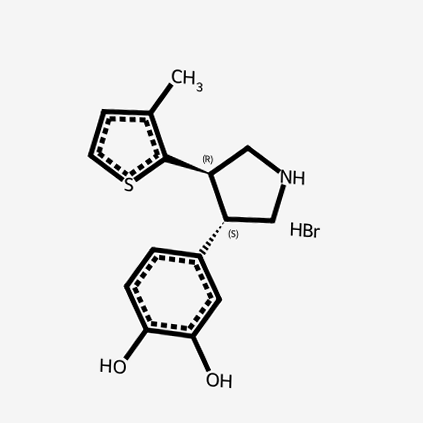 Br.Cc1ccsc1[C@H]1CNC[C@@H]1c1ccc(O)c(O)c1